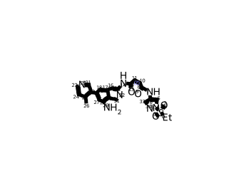 CCS(=O)(=O)n1cc(NC(=O)/C=C\C(=O)Nc2cc3cc(-c4cnccc4C)cc(N)c3cn2)cn1